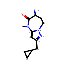 CN1C(=O)C(N)CCn2nc(CC3CC3)cc21